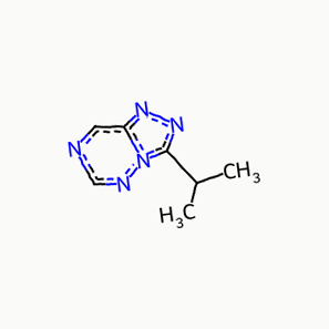 CC(C)c1nnc2cncnn12